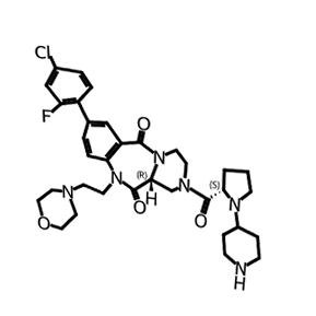 O=C([C@@H]1CCCN1C1CCNCC1)N1CCN2C(=O)c3cc(-c4ccc(Cl)cc4F)ccc3N(CCN3CCOCC3)C(=O)[C@H]2C1